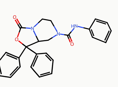 O=C(Nc1ccccc1)N1CCN2C(=O)OC(c3ccccc3)(c3ccccc3)C2C1